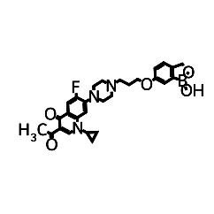 CC(=O)c1cn(C2CC2)c2cc(N3CCN(CCCOc4ccc5c(c4)B(O)OC5)CC3)c(F)cc2c1=O